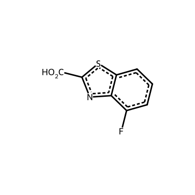 O=C(O)c1nc2c(F)cccc2s1